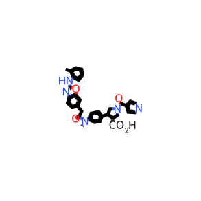 Cc1ccccc1Nc1nc2ccc(CC(=O)N(C)c3ccc(C4CN(C(=O)c5ccncc5)CC4C(=O)O)cc3)cc2o1